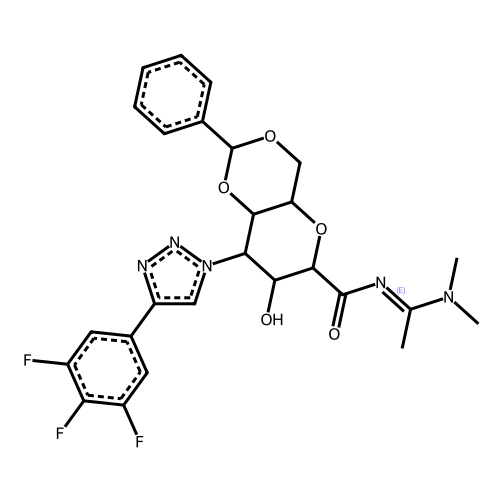 C/C(=N\C(=O)C1OC2COC(c3ccccc3)OC2C(n2cc(-c3cc(F)c(F)c(F)c3)nn2)C1O)N(C)C